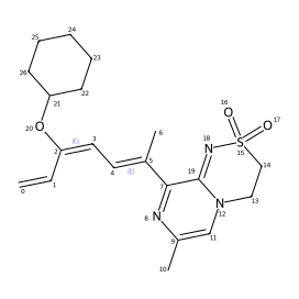 C=C/C(=C\C=C(/C)C1=NC(C)=CN2CCS(=O)(=O)N=C12)OC1CCCCC1